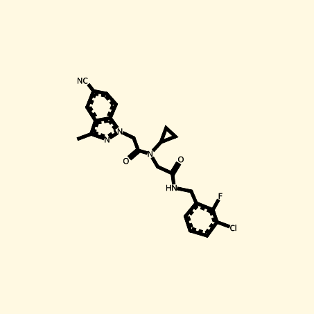 Cc1nn(CC(=O)N(CC(=O)NCc2cccc(Cl)c2F)C2CC2)c2ccc(C#N)cc12